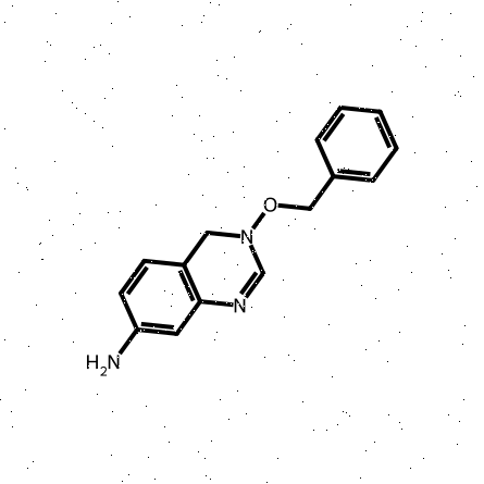 Nc1ccc2c(c1)N=CN(OCc1ccccc1)C2